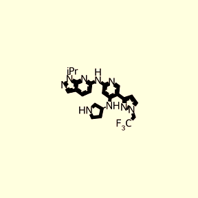 CC(C)n1ncc2ccc(Nc3cc(N[C@@H]4CCNC4)c(-c4ccn(CC(F)(F)F)n4)cn3)nc21